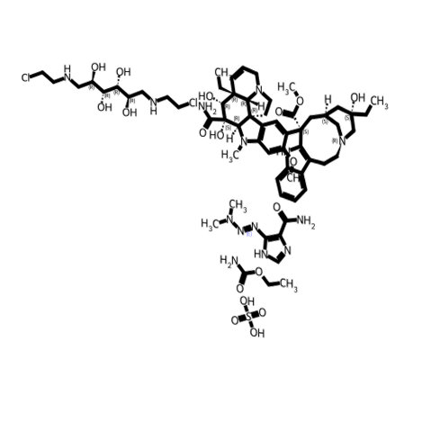 CCOC(N)=O.CC[C@]1(O)C[C@H]2C[N@](CCc3c([nH]c4ccccc34)[C@@](C(=O)OC)(c3cc4c(cc3OC)N(C)[C@H]3[C@@](O)(C(N)=O)[C@H](O)[C@]5(CC)C=CCN6CC[C@]43[C@@H]65)C2)C1.CN(C)/N=N/c1[nH]cnc1C(N)=O.O=S(=O)(O)O.O[C@@H]([C@H](O)[C@H](O)CNCCCl)[C@H](O)CNCCCl